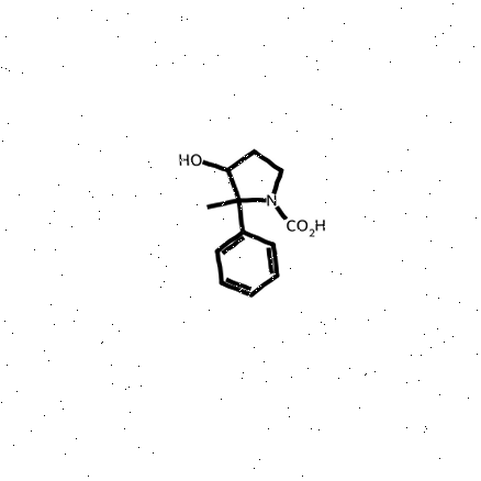 CC1(c2ccccc2)C(O)CCN1C(=O)O